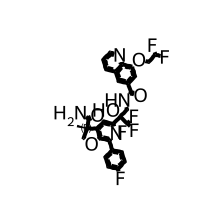 C[C@]1(C(N)=O)COc2c1cc(C(O)(CNC(=O)c1cc(OCC(F)F)c3ncccc3c1)C(F)(F)F)nc2-c1ccc(F)cc1